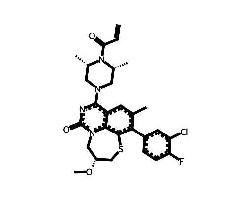 C=CC(=O)N1[C@H](C)CN(c2nc(=O)n3c4c(c(-c5ccc(F)c(Cl)c5)c(C)cc24)SC[C@H](OC)C3)C[C@@H]1C